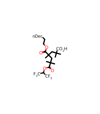 CCCCCCCCCCCCOC(=O)C(C)(CC(C)(C)C(=O)O)CC(C)(C)C(=O)OC(C(F)(F)F)C(F)(F)F